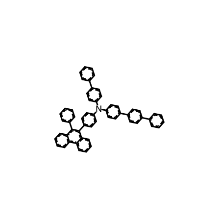 c1ccc(-c2ccc(-c3ccc(N(c4ccc(-c5ccccc5)cc4)c4ccc(-c5c(-c6ccccc6)c6ccccc6c6ccccc56)cc4)cc3)cc2)cc1